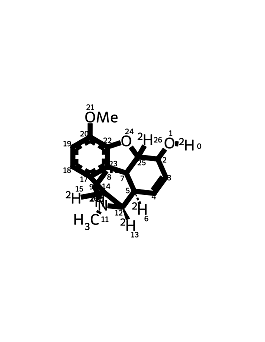 [2H]OC1C=C[C@]2([2H])[C@@]34CCN(C)[C@]2([2H])C([2H])([2H])c2ccc(OC)c(c23)OC14[2H]